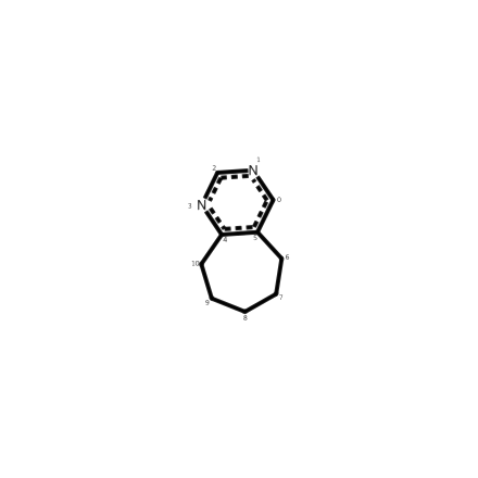 [c]1ncnc2c1CCCCC2